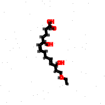 CCOCCC(O)C=CCC/C=C\C(O)CCCC(=O)O